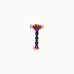 CCO[Si](CCCN(CCC[Si](OCC)(OCC)OCC)c1ccc(C(C)(C)c2ccc(C(C)(C)c3ccc(N(CC4CO4)CC4CO4)cc3)cc2)cc1)(OCC)OCC